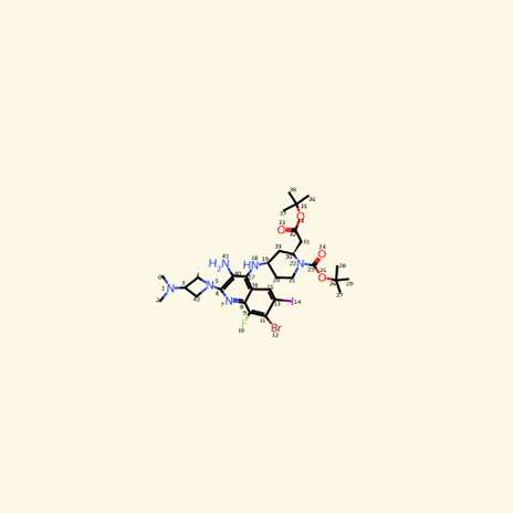 CN(C)C1CN(c2nc3c(F)c(Br)c(I)cc3c(N[C@@H]3CCN(C(=O)OC(C)(C)C)[C@H](CC(=O)OC(C)(C)C)C3)c2N)C1